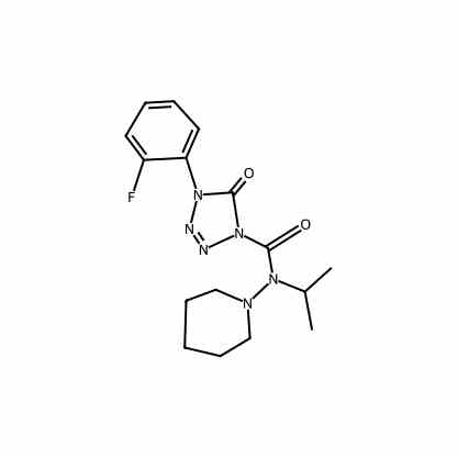 CC(C)N(C(=O)n1nnn(-c2ccccc2F)c1=O)N1CCCCC1